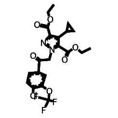 CCOC(=O)c1nn(CC(=O)c2ccc(Cl)c(OC(F)(F)F)c2)c(C(=O)OCC)c1C1CC1